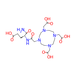 NC(=O)[C@H](CCC(=O)O)NC(=O)CN1CCN(CC(=O)O)CCN(CC(=O)O)CCN(CC(=O)O)CC1